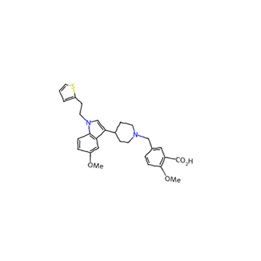 COc1ccc2c(c1)c(C1CCN(Cc3ccc(OC)c(C(=O)O)c3)CC1)cn2CCc1cccs1